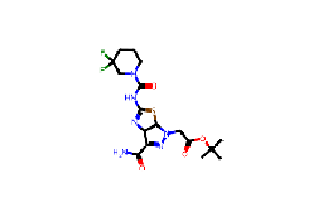 CC(C)(C)OC(=O)CN1N=C(C(N)=O)C2N=C(NC(=O)N3CCCC(F)(F)C3)SC21